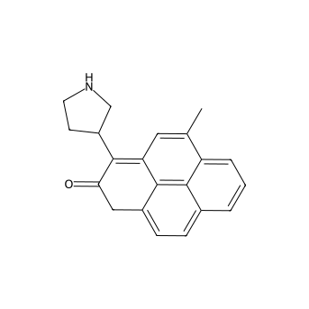 Cc1cc2c3c(ccc4cccc1c43)CC(=O)C=2C1CCNC1